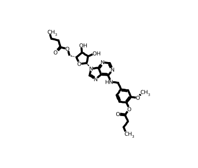 CCCC(=O)OC[C@H]1O[C@@H](n2cnc3c(NCc4ccc(OC(=O)CCC)c(OC)c4)ncnc32)C(O)C1O